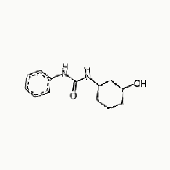 O=C(Nc1ccccc1)NC1CCCC(O)C1